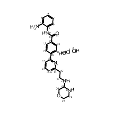 Cl.Cl.Cl.Nc1ccccc1NC(=O)c1ccc(-c2ccnc(CCNC3COCCN3)n2)cc1